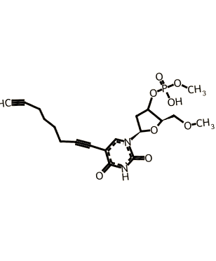 C#CCCCCC#Cc1cn([C@H]2CC(OP(=O)(O)OC)[C@@H](COC)O2)c(=O)[nH]c1=O